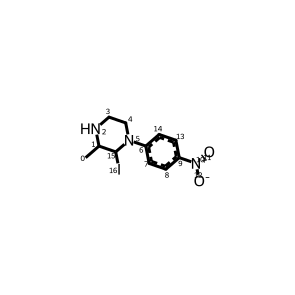 CC1NCCN(c2ccc([N+](=O)[O-])cc2)C1I